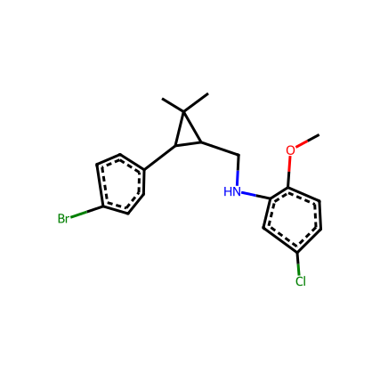 COc1ccc(Cl)cc1NCC1C(c2ccc(Br)cc2)C1(C)C